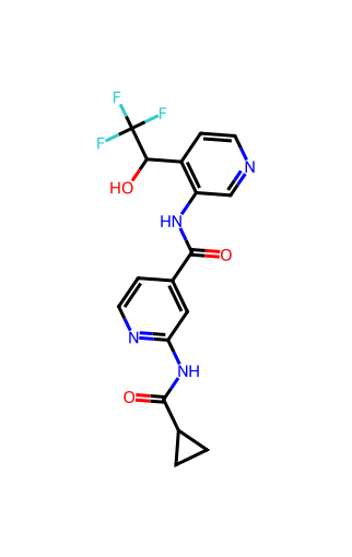 O=C(Nc1cnccc1C(O)C(F)(F)F)c1ccnc(NC(=O)C2CC2)c1